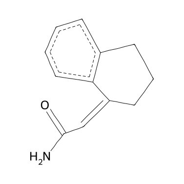 NC(=O)/C=C1/CCCc2ccccc21